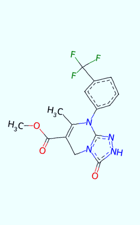 COC(=O)C1=C(C)N(c2cccc(C(F)(F)F)c2)c2n[nH]c(=O)n2C1